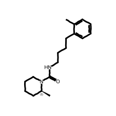 Cc1ccccc1CCCCNC(=O)N1CCCC[C@@H]1C